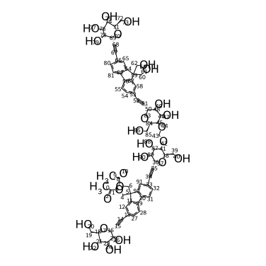 CC(=O)OCC1(COC(C)=O)c2cc(C#C[C@H]3O[C@H](CO)[C@@H](O)[C@H](O)[C@@H]3O)ccc2-c2ccc(C#C[C@H]3O[C@H](CO)[C@@H](OCO[C@H]4[C@H](O)[C@H](O)[C@@H](C#Cc5ccc6c(c5)C(CO)(CO)c5cc(C#C[C@H]7O[C@H](CO)[C@@H](O)[C@H](O)[C@@H]7O)ccc5-6)O[C@@H]4CO)[C@H](O)[C@@H]3O)cc21